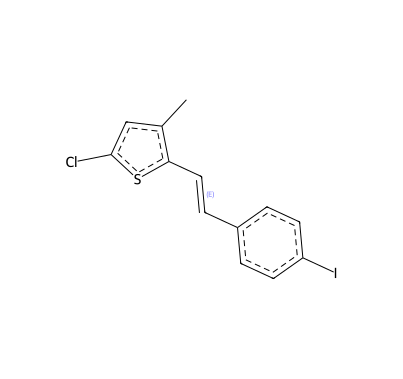 Cc1cc(Cl)sc1/C=C/c1ccc(I)cc1